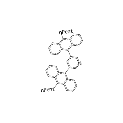 CCCCCc1c2ccccc2c(-c2cncc(-c3c4ccccc4c(CCCCC)c4ccccc34)c2)c2ccccc12